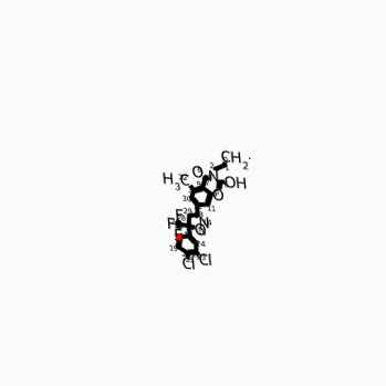 [CH2]CCN(C(=O)O)C(=O)c1ccc(C2=NOC(c3ccc(Cl)c(Cl)c3)(C(F)(F)F)C2)cc1C